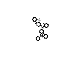 Cc1ccccc1N(C1=CCC2(C)C(=C1)C(C)(C)c1ccccc12)c1ccc2c(c1)c1ccccc1n2-c1ccccc1